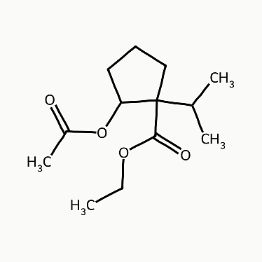 CCOC(=O)C1(C(C)C)CCCC1OC(C)=O